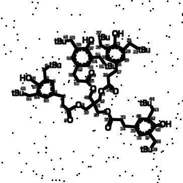 CC(C)(C)Cc1cc(CCC(=O)OCC(COC(=O)CCc2cc(CC(C)(C)C)c(O)c(CC(C)(C)C)c2)(COC(=O)CCc2cc(CC(C)(C)C)c(O)c(CC(C)(C)C)c2)COC(=O)CCc2cc(CC(C)(C)C)c(O)c(CC(C)(C)C)c2)cc(CC(C)(C)C)c1O